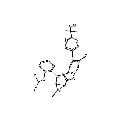 C[C@@H]1C2c3nc4cc(F)c(-c5cnc(C(C)(C)O)nc5)cc4n3[C@@H](c3ccccc3OC(F)F)C21